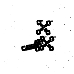 O=P([O-])([O-])[O-].O=P([O-])([O-])[O-].[Ca+2].[Ca+2].[Ca+2].[O]=[AlH]